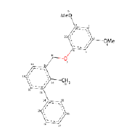 COc1[c]c(OC)cc(OCc2cccc(-c3ccccc3)c2C)c1